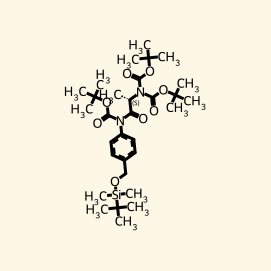 C[C@@H](C(=O)N(C(=O)OC(C)(C)C)c1ccc(CO[Si](C)(C)C(C)(C)C)cc1)N(C(=O)OC(C)(C)C)C(=O)OC(C)(C)C